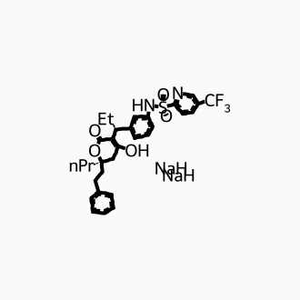 CCC[C@@]1(CCc2ccccc2)CC(O)=C([C@H](CC)c2cccc(NS(=O)(=O)c3ccc(C(F)(F)F)cn3)c2)C(=O)O1.[NaH].[NaH]